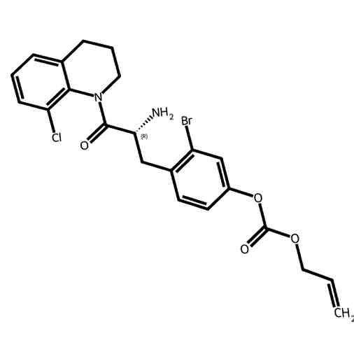 C=CCOC(=O)Oc1ccc(C[C@@H](N)C(=O)N2CCCc3cccc(Cl)c32)c(Br)c1